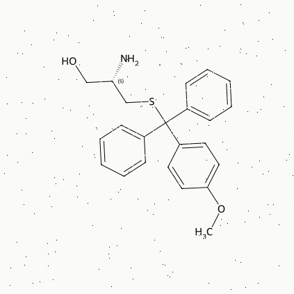 COc1ccc(C(SC[C@@H](N)CO)(c2ccccc2)c2ccccc2)cc1